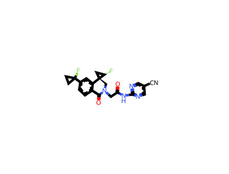 N#Cc1cnc(NC(=O)CN2C[C@]3(C[C@@H]3F)c3cc(C4(F)CC4)ccc3C2=O)nc1